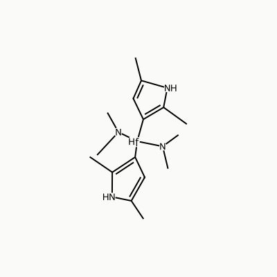 Cc1c[c]([Hf]([c]2cc(C)[nH]c2C)([N](C)C)[N](C)C)c(C)[nH]1